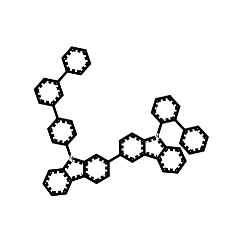 c1ccc(-c2cccc(-c3ccc(-n4c5ccccc5c5ccc(-c6ccc7c(c6)c6ccccc6n7-c6ccccc6-c6ccccc6)cc54)cc3)c2)cc1